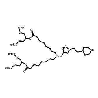 CCCCCCOCC(COCCCCCC)OC(=O)CCCCCCCN(CCCCCCCC(=O)OC(COCCCCCC)COCCCCCC)Cc1cn(CCN2CCNCC2)nn1